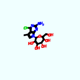 Cc1cn([C@@H]2OC(CO)[C@@H](O)[C@H](O)C(O)C2O)c2nc(N)nc(Cl)c12